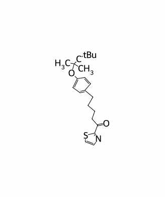 CC(C)(C)CC(C)(C)Oc1ccc(CCCCC(=O)c2nccs2)cc1